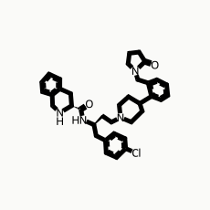 O=C(N[C@@H](CCN1CCC(c2ccccc2CN2CCCC2=O)CC1)Cc1ccc(Cl)cc1)[C@H]1Cc2ccccc2CN1